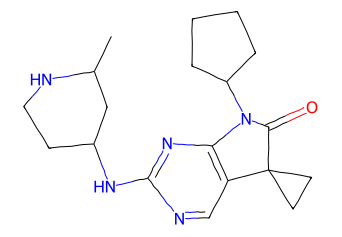 CC1CC(Nc2ncc3c(n2)N(C2CCCC2)C(=O)C32CC2)CCN1